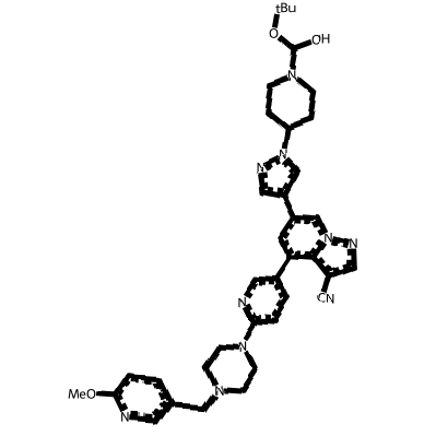 COc1ccc(CN2CCN(c3ccc(-c4cc(-c5cnn(C6CCN(C(O)OC(C)(C)C)CC6)c5)cn5ncc(C#N)c45)cn3)CC2)cn1